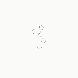 Oc1cccc(-c2cccc(-c3nc(-c4ccccc4)c(-c4ccccc4)o3)c2)c1